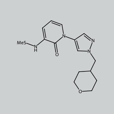 CSNc1cccn(-c2cnn(CC3CCOCC3)c2)c1=O